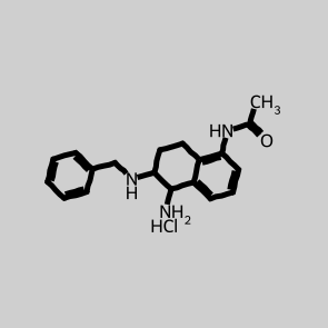 CC(=O)Nc1cccc2c1CCC(NCc1ccccc1)C2N.Cl